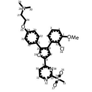 COc1cccc(-c2cc(-c3ccnc(S(C)(=O)=O)n3)oc2-c2ccc(OCCN(C)C)cc2)c1Cl